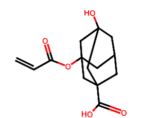 C=CC(=O)OC12CC3CC(O)(C1)CC(C(=O)O)(C3)C2